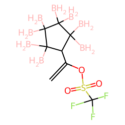 BC1(B)C(C(=C)OS(=O)(=O)C(F)(F)F)C(B)(B)C(B)(B)C1(B)B